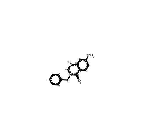 Bc1ccc2c(=O)n(Cc3ccccc3)cnc2c1